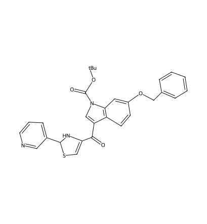 CC(C)(C)OC(=O)n1cc(C(=O)C2=CSC(c3cccnc3)N2)c2ccc(OCc3ccccc3)cc21